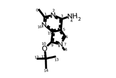 Cc1nc(N)c2cn(C)c(OC(C)(C)C)c2n1